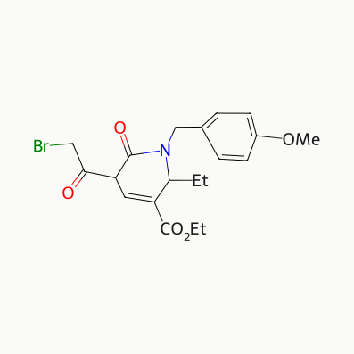 CCOC(=O)C1=CC(C(=O)CBr)C(=O)N(Cc2ccc(OC)cc2)C1CC